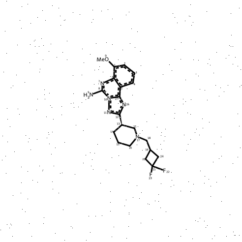 COc1cccc2c1nc(N)n1nc([C@@H]3CCCN(CC4CC(F)(F)C4)C3)nc21